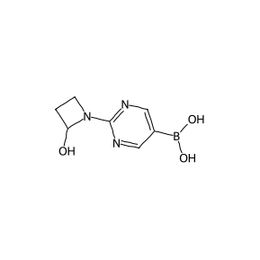 OB(O)c1cnc(N2CCC2O)nc1